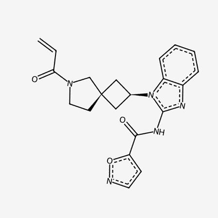 C=CC(=O)N1CC[C@]2(C1)C[C@H](n1c(NC(=O)c3ccno3)nc3ccccc31)C2